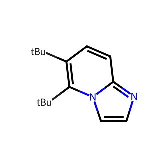 CC(C)(C)c1ccc2nccn2c1C(C)(C)C